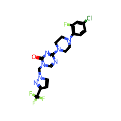 O=c1nc(N2CCN(c3ccc(Cl)cc3F)CC2)ncn1Cn1ccc(C(F)(F)F)n1